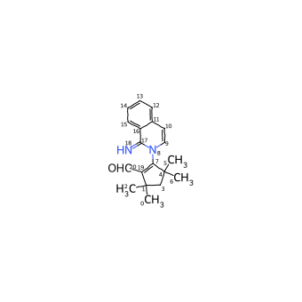 CC1(C)CC(C)(C)C(n2ccc3ccccc3c2=N)=C1C=O